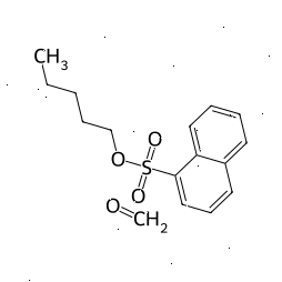 C=O.CCCCCOS(=O)(=O)c1cccc2ccccc12